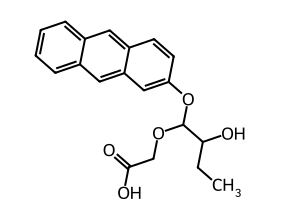 CCC(O)C(OCC(=O)O)Oc1ccc2cc3ccccc3cc2c1